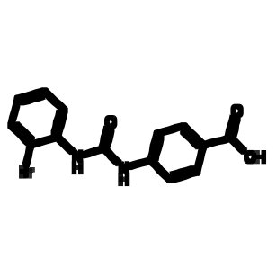 O=C(Nc1ccc(C(=O)O)cc1)Nc1ccccc1Br